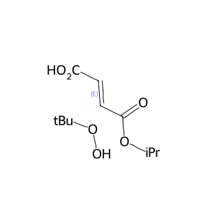 CC(C)(C)OO.CC(C)OC(=O)/C=C/C(=O)O